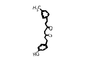 Cc1ccc(/C=C/C(=O)CC(=O)CCc2ccc(O)cc2)cc1